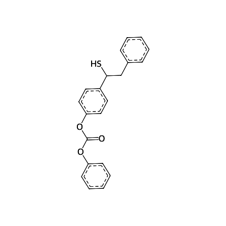 O=C(Oc1ccccc1)Oc1ccc(C(S)Cc2ccccc2)cc1